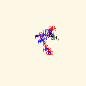 CCOc1cc2n(c(=O)c1CO)Cc1c-2nc2cc(F)c(C)c3c2c1[C@@H](NC(=O)CCNC(=O)CNC(=O)[C@H](Cc1ccccc1)NC(=O)CNC(=O)CNC(=O)CCOCCOCCNC(=O)CCN1C(=O)C=CC1=O)CC3